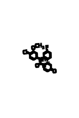 COc1cc(NC(=O)N2C=CC(=O)C[C@H]2c2ccc(F)cc2)ccc1Cl